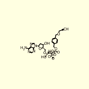 C#CCOCc1ccc(COP(=O)(O)OP(=O)(O)OP(=O)(O)OC[C@H]2O[C@@H](n3cnc4c(N)ncnc43)C[C@H]2O)cc1